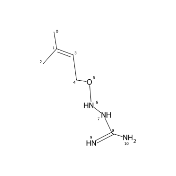 CC(C)=CCONNC(=N)N